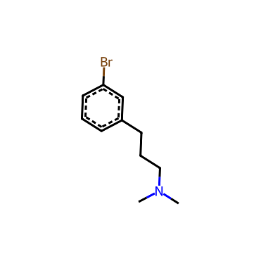 CN(C)CCCc1cccc(Br)c1